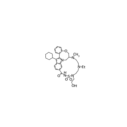 CCN1CCN(C)C2COc3ccccc3-c3c(C4CCCCC4)c4ccc(cc4n3C2)C(=O)NS(=O)(=O)N(CCO)CC1